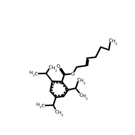 CCCCC=CCOC(=O)c1c(C(C)C)cc(C(C)C)cc1C(C)C